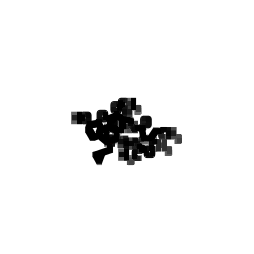 CC[C@H](C)[C@H](NC(C)=O)C(=O)NC[C@H]1C[C@@]23CCC1(OC)C1Oc4c(O)ccc5c4[C@@]12CCN(CC1CC1)[C@@H]3C5